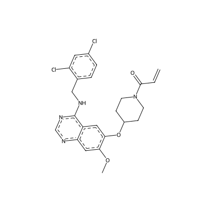 C=CC(=O)N1CCC(Oc2cc3c(NCc4ccc(Cl)cc4Cl)ncnc3cc2OC)CC1